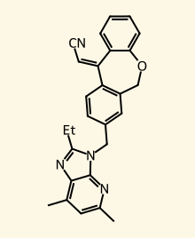 CCc1nc2c(C)cc(C)nc2n1Cc1ccc2c(c1)COc1ccccc1/C2=C\C#N